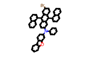 Brc1ccc2c(-c3cccc4ccccc34)c3cc(N(c4ccccc4)c4ccc5c(c4)oc4ccccc45)ccc3c(-c3cccc4ccccc34)c2c1